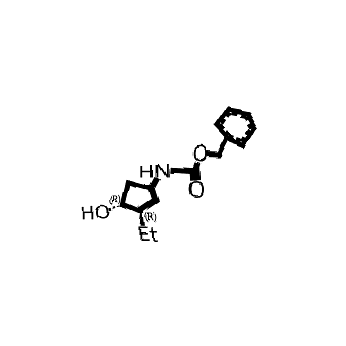 CC[C@@H]1CC(NC(=O)OCc2ccccc2)C[C@H]1O